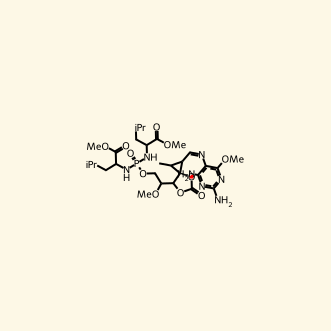 COC(=O)C(CC(C)C)NP(=O)(NC(CC(C)C)C(=O)OC)OCC(OC)C1OC(=O)O[C@]12C(C)C2/C=N\c1c(N)nc(N)nc1OC